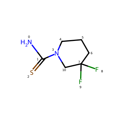 NC(=S)N1CCCC(F)(F)C1